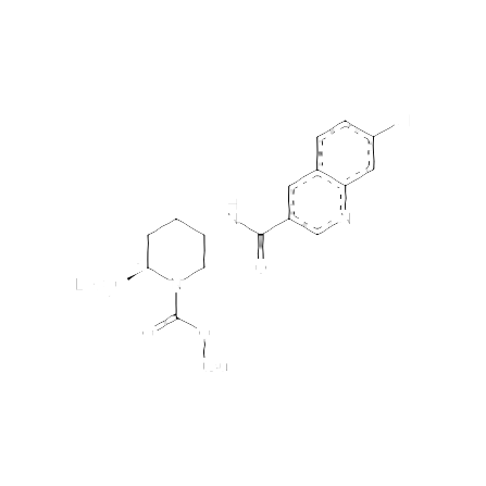 CCOC(=O)[C@H]1CC[C@H](NC(=O)c2cnc3cc(Cl)ccc3c2)CN1C(=O)OC(C)(C)C